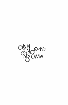 COc1cc(NC(C(=O)c2c[nH]c3ccccc23)c2nc3ccccc3s2)cc(OCCN2CCCC2)c1